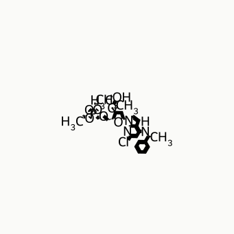 CCOP(=O)(COC[C@H]1O[C@@H](n2ccc3c(N[C@H](C)c4ccccc4)cc(Cl)nc32)C[C@@H]1OC(C)(C)O)OCC